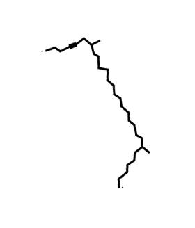 [CH2]CCC#CCC(C)CCCCCCCCCCCCCCC(C)CCCCC[CH2]